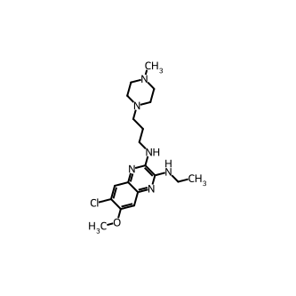 CCNc1nc2cc(OC)c(Cl)cc2nc1NCCCN1CCN(C)CC1